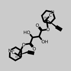 C#C[C@]1(OC(=O)C(O)C(O)C(=O)O[C@@]2(C#C)CN3CCC2CC3)CN2CCC1CC2